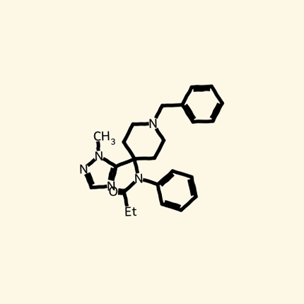 CCC(=O)N(c1ccccc1)C1(c2ncnn2C)CCN(Cc2ccccc2)CC1